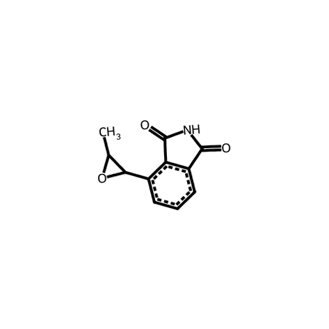 CC1OC1c1cccc2c1C(=O)NC2=O